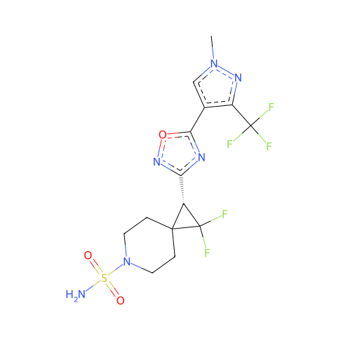 Cn1cc(-c2nc([C@@H]3C(F)(F)C34CCN(S(N)(=O)=O)CC4)no2)c(C(F)(F)F)n1